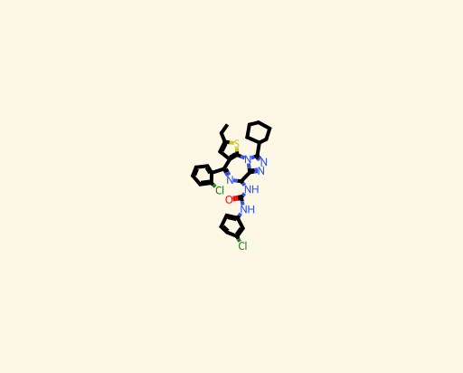 CCc1cc2c(s1)-n1c(C3CCCCC3)nnc1C(NC(=O)Nc1cccc(Cl)c1)N=C2c1ccccc1Cl